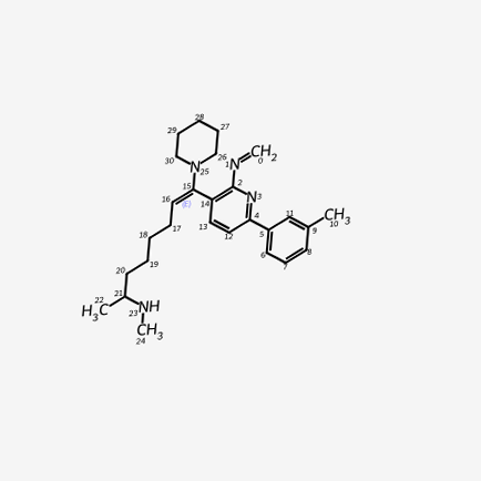 C=Nc1nc(-c2cccc(C)c2)ccc1/C(=C\CCCCC(C)NC)N1CCCCC1